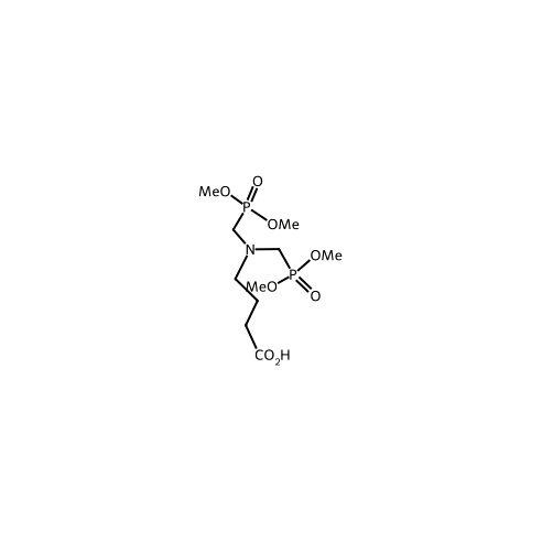 COP(=O)(CN(CCCC(=O)O)CP(=O)(OC)OC)OC